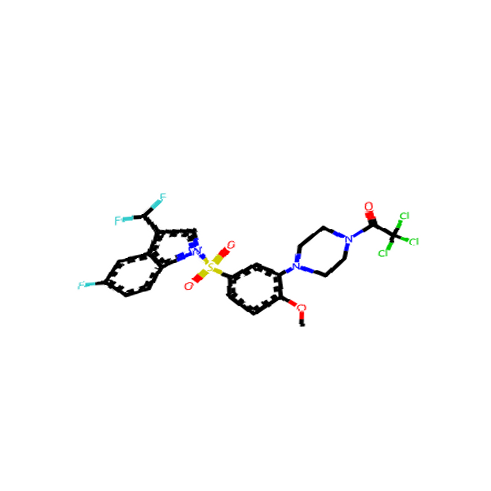 COc1ccc(S(=O)(=O)n2cc(C(F)F)c3cc(F)ccc32)cc1N1CCN(C(=O)C(Cl)(Cl)Cl)CC1